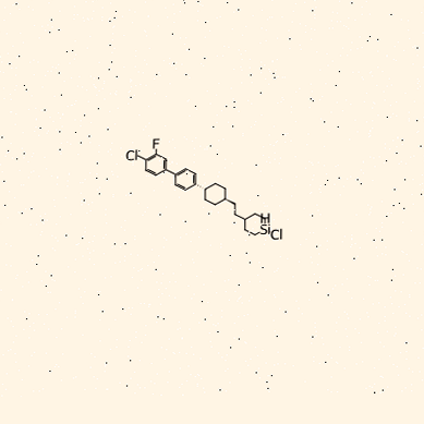 Fc1cc(-c2ccc([C@H]3CC[C@H](CCC4CC[SiH](Cl)CC4)CC3)cc2)ccc1Cl